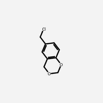 ClCc1ccc2c(c1)COCO2